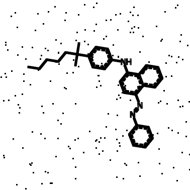 CCCCCC(C)(C)c1ccc(Nc2ccc(N=Nc3ccccc3)c3ccccc23)cc1